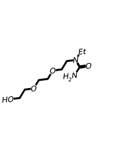 [CH2]CN(CCOCCOCCO)C(N)=O